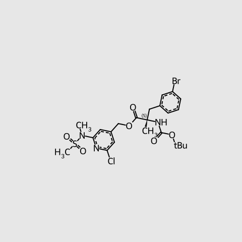 CN(c1cc(COC(=O)[C@](C)(Cc2cccc(Br)c2)NC(=O)OC(C)(C)C)cc(Cl)n1)S(C)(=O)=O